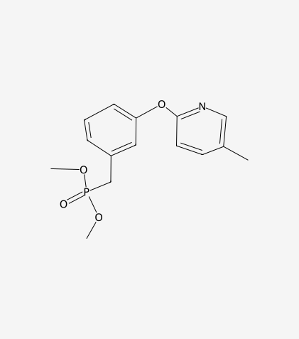 COP(=O)(Cc1cccc(Oc2ccc(C)cn2)c1)OC